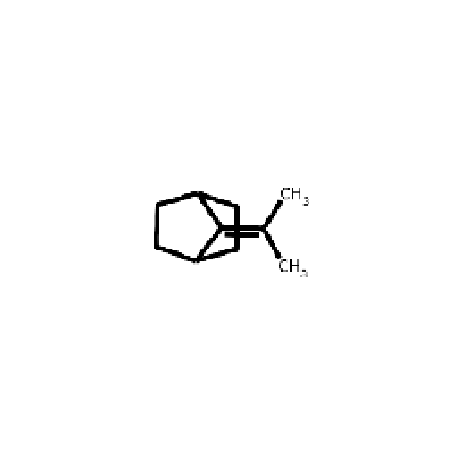 CC(C)=C1C2CCC1CC2